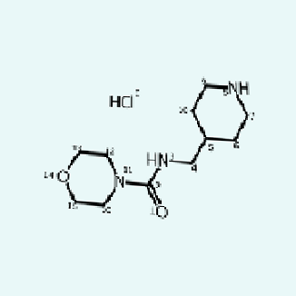 Cl.O=C(NCC1CCNCC1)N1CCOCC1